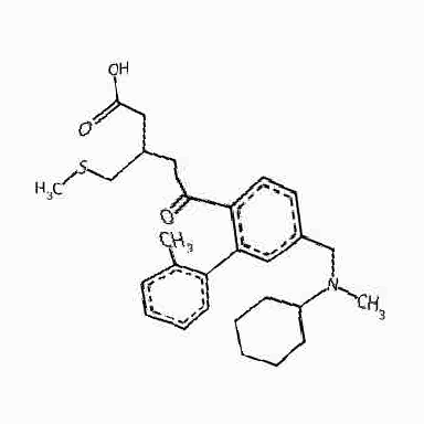 CSCC(CC(=O)O)CC(=O)c1ccc(CN(C)C2CCCCC2)cc1-c1ccccc1C